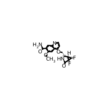 COc1cc2c(OC[C@H]3NC(=O)[C@@]4(F)[C@@H]3[C@@H]4F)ccnc2cc1C(N)=O